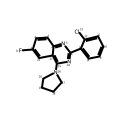 Fc1ccc2nc(-c3ccccc3Cl)nc(N3CCCC3)c2c1